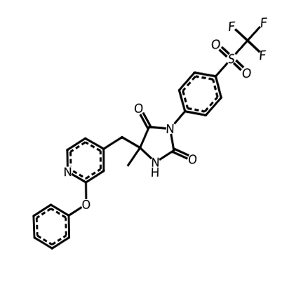 CC1(Cc2ccnc(Oc3ccccc3)c2)NC(=O)N(c2ccc(S(=O)(=O)C(F)(F)F)cc2)C1=O